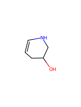 OC1CC=CNC1